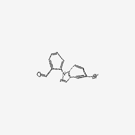 O=Cc1ccccc1-n1ncc2cc(Br)ccc21